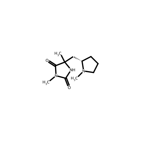 CN1C(=O)NC(C)(C[C@@H]2CCCN2C)C1=O